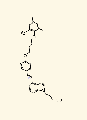 CC(=O)c1cc(C)cc(C)c1OCCCCOc1ccc(/C=C/c2cccc3c2ccn3CCCC(=O)O)cc1